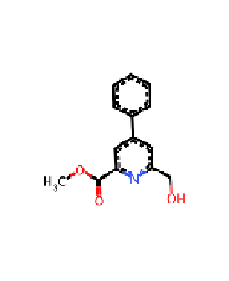 COC(=O)c1cc(-c2ccccc2)cc(CO)n1